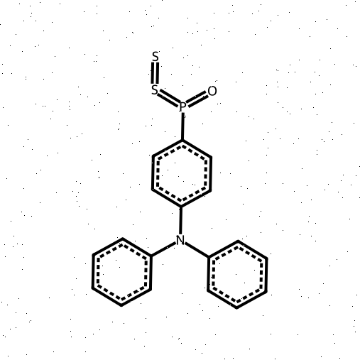 O=P(=S=S)c1ccc(N(c2ccccc2)c2ccccc2)cc1